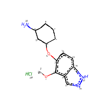 CC(C)Oc1c(OC2CCCC(N)C2)ccc2[nH]ncc12.Cl